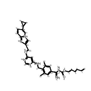 CCCCCCOC(=O)NC(=N)c1cc(C)c(CNc2cc(OCc3cn4cc(C5CC5)ccc4n3)ncn2)c(C)c1